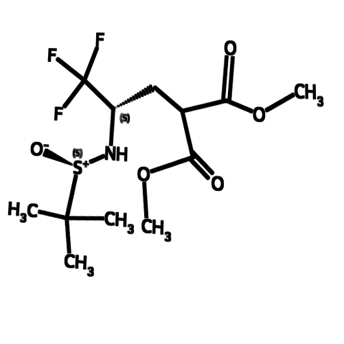 COC(=O)C(C[C@H](N[S@+]([O-])C(C)(C)C)C(F)(F)F)C(=O)OC